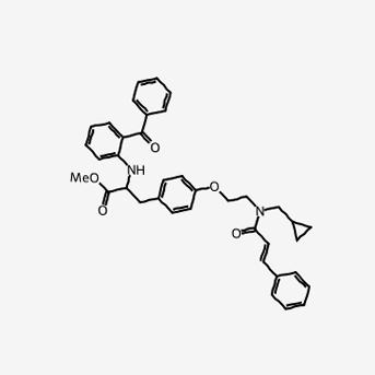 COC(=O)C(Cc1ccc(OCCN(CC2CC2)C(=O)C=Cc2ccccc2)cc1)Nc1ccccc1C(=O)c1ccccc1